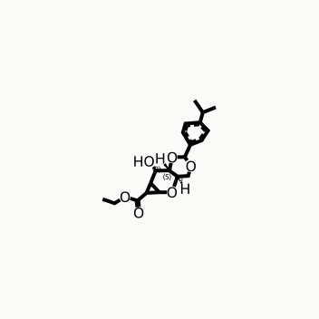 CCOC(=O)C1C2O[C@@H]3COC(c4ccc(C(C)C)cc4)O[C@H]3[C@H](O)C21